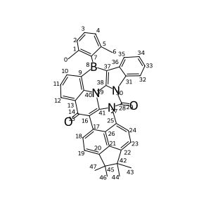 Cc1cccc(C)c1B1c2cccc3c(=O)c4c5ccc6c7c(ccc(c75)n5c(=O)n7c8ccccc8c1c7n(c23)c45)C(C)(C)C6(C)C